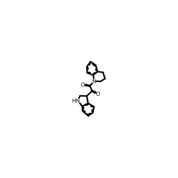 O=C(C(=O)N1CCCc2ccccc21)C1CNc2ccccc21